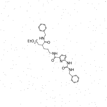 CCOC(=O)CC(CCCNC(=O)c1csc(NC(=O)NCc2ccccc2)n1)C(=O)NCc1ccccc1